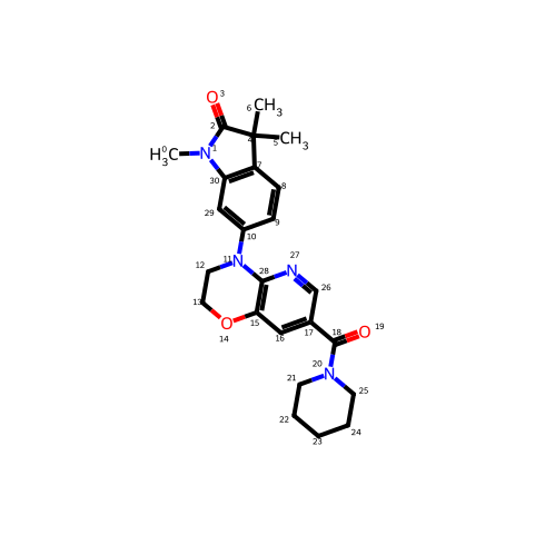 CN1C(=O)C(C)(C)c2ccc(N3CCOc4cc(C(=O)N5CCCCC5)cnc43)cc21